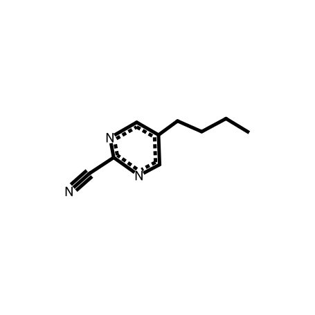 CCCCc1cnc(C#N)nc1